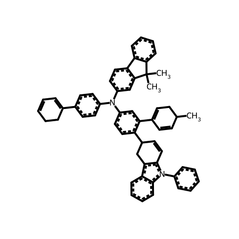 CC1C=CC(c2cc(N(c3ccc(C4=CC=CCC4)cc3)c3ccc4c(c3)C(C)(C)c3ccccc3-4)ccc2C2C=Cc3c(c4ccccc4n3-c3ccccc3)C2)=CC1